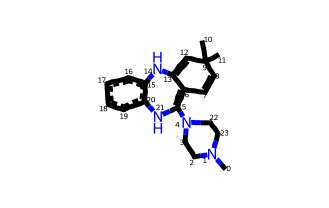 CN1CCN(C2=C3C=CC(C)(C)C=C3Nc3ccccc3N2)CC1